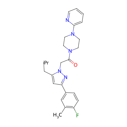 Cc1cc(-c2cc(CC(C)C)n(CC(=O)N3CCN(c4ccccn4)CC3)n2)ccc1F